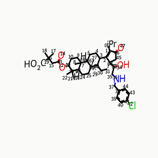 CC(C)C1=C2C3CC[C@@H]4C5(C)CC[C@H](OC(=O)CC(C)(C)C(=O)O)C(C)(C)[C@@H]5CC[C@@]4(C)[C@]3(C)CC[C@@]2([C@@H](O)CNCc2ccc(Cl)cc2)CC1=O